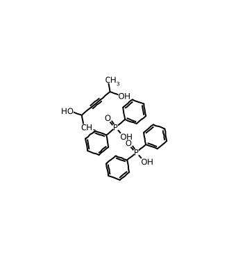 CC(O)C#CC(C)O.O=P(O)(c1ccccc1)c1ccccc1.O=P(O)(c1ccccc1)c1ccccc1